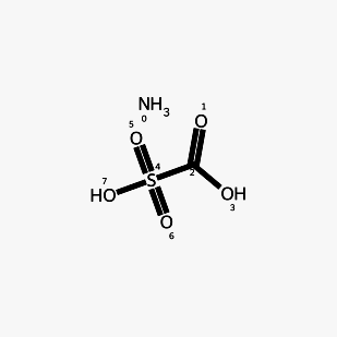 N.O=C(O)S(=O)(=O)O